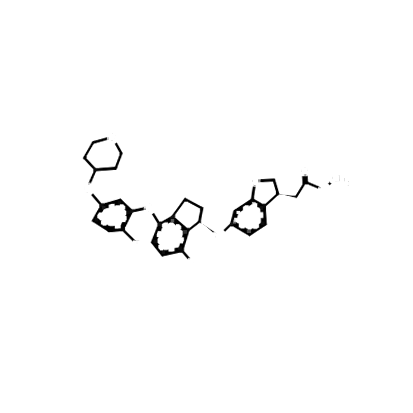 COC(=O)C[C@@H]1COc2cc(O[C@@H]3CCc4c(Oc5cc(OC6CCOCC6)ccc5F)ccc(F)c43)ccc21